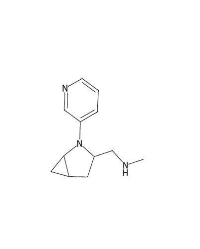 CNCC1CC2CC2N1c1cccnc1